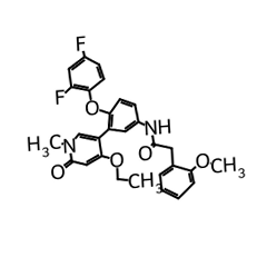 CCOc1cc(=O)n(C)cc1-c1cc(NC(=O)Cc2ccccc2OC)ccc1Oc1ccc(F)cc1F